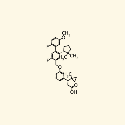 COc1ccc(F)c(-c2cc(F)c(COc3cccc([C@H](CC(=O)O)C4(C)CC4)c3)cc2[C@@H]2CCCC2(C)C)c1